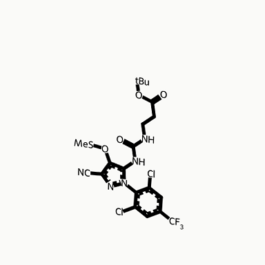 CSOc1c(C#N)nn(-c2c(Cl)cc(C(F)(F)F)cc2Cl)c1NC(=O)NCCC(=O)OC(C)(C)C